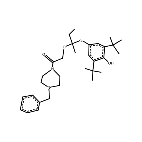 CCC(C)(OCC(=O)N1CCN(Cc2ccccc2)CC1)Sc1cc(C(C)(C)C)c(O)c(C(C)(C)C)c1